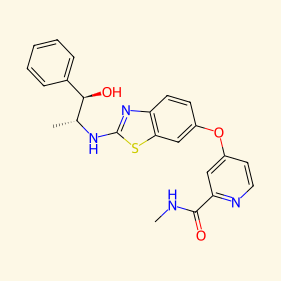 CNC(=O)c1cc(Oc2ccc3nc(N[C@H](C)[C@H](O)c4ccccc4)sc3c2)ccn1